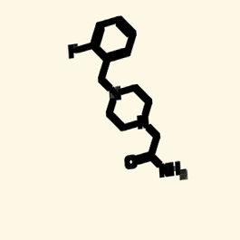 NC(=O)CN1CCN(Cc2ccccc2F)CC1